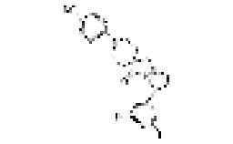 N#Cc1cnc(N2CCC3(CC2)CN2CC[C@@H](c4cc(F)cc(F)c4)N2C3=O)cn1